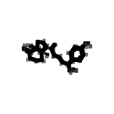 CC(=O)OC(CCCC(C)[C@H]1CC[C@H]2C(=O)CCC[C@]12C)c1ccc(C(F)(F)F)cc1